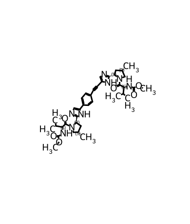 COC(=O)N[C@H](C(=O)N1C[C@@H](C)C[C@@H]1c1ncc(-c2ccc(C#Cc3cnc([C@@H]4C[C@@H](C)CN4C(=O)[C@@H](NC(=O)OC)C(C)C)[nH]3)cc2)[nH]1)C(C)C